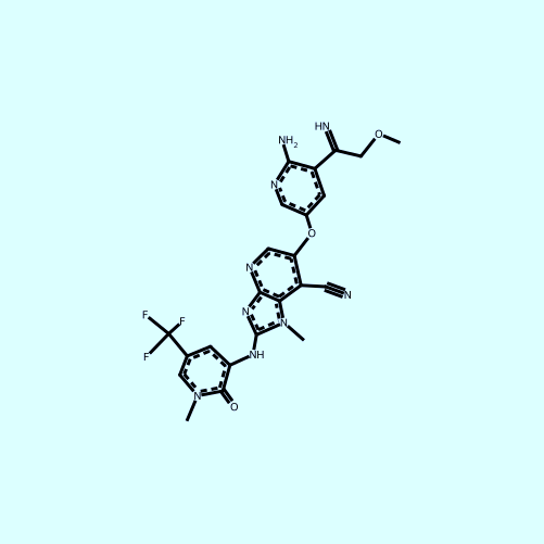 COCC(=N)c1cc(Oc2cnc3nc(Nc4cc(C(F)(F)F)cn(C)c4=O)n(C)c3c2C#N)cnc1N